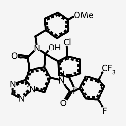 COc1ccc(CN2C(=O)c3c(c(NC(=O)c4cc(F)cc(C(F)(F)F)c4)cn4ncnc34)C2(O)c2cc(F)ccc2Cl)cc1